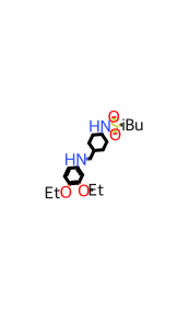 CCOc1ccc(NCC2CCC(NS(=O)(=O)C(C)CC)CC2)cc1OCC